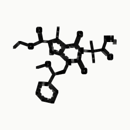 CCOC(=O)c1sc2c(c1C)c(=O)n(C(C)(C)C(N)=O)c(=O)n2C[C@H](OC)c1ccccc1